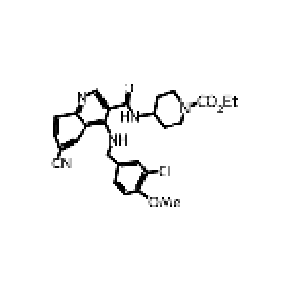 CCOC(=O)N1CCC(NC(=O)c2cnc3ccc(C#N)cc3c2NCc2ccc(OC)c(Cl)c2)CC1